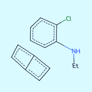 CCNc1ccccc1Cl.c1cc2ccc1-2